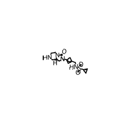 O=C1N2CCNC[C@H]2CN1C12CC(CNS(=O)(=O)C3CC3)(C1)C2